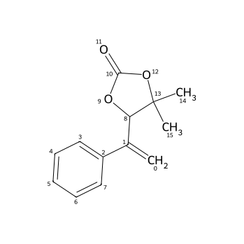 C=C(c1ccccc1)C1OC(=O)OC1(C)C